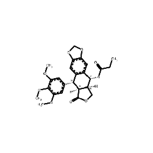 CCC(=O)O[C@H]1c2cc3c(cc2[C@@H](c2cc(OC)c(OC)c(OC)c2)[C@@H]2C(=O)OC[C@@H]21)OCO3